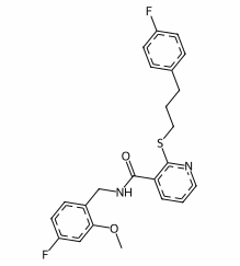 COc1cc(F)ccc1CNC(=O)c1cccnc1SCCCc1ccc(F)cc1